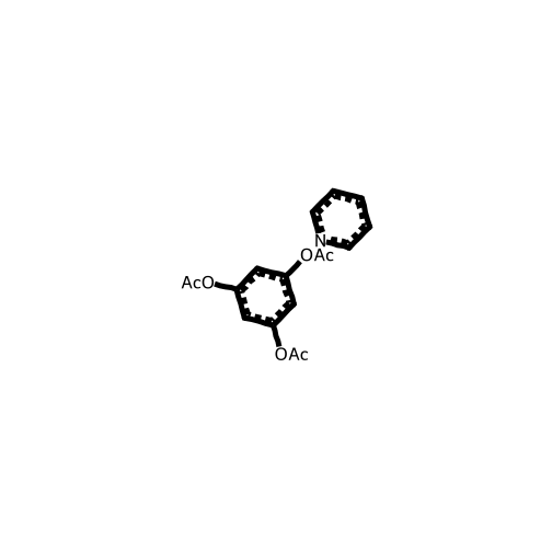 CC(=O)Oc1cc(OC(C)=O)cc(OC(C)=O)c1.c1ccncc1